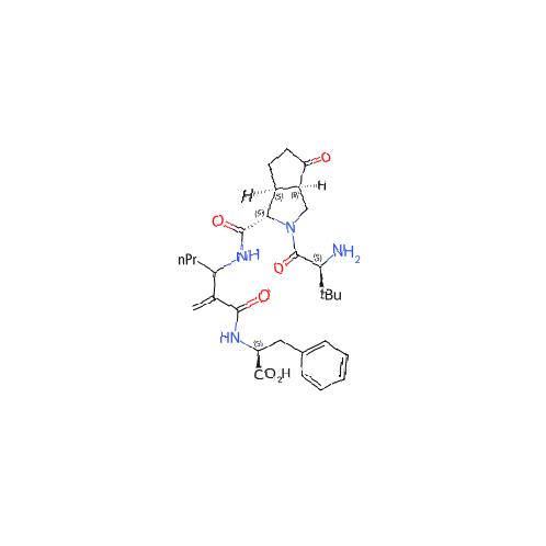 C=C(C(=O)N[C@@H](Cc1ccccc1)C(=O)O)C(CCC)NC(=O)[C@@H]1[C@H]2CCC(=O)[C@H]2CN1C(=O)[C@@H](N)C(C)(C)C